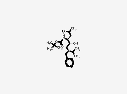 CC(C)C[C@H](NC(=O)OC(C)(C)C)[C@H](O)CN(Cc1ccccc1)C(C)C